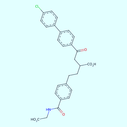 O=C(O)CNC(=O)c1ccc(CCC(CC(=O)c2ccc(-c3ccc(Cl)cc3)cc2)C(=O)O)cc1